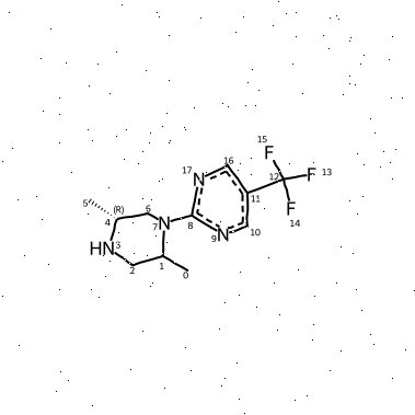 CC1CN[C@H](C)CN1c1ncc(C(F)(F)F)cn1